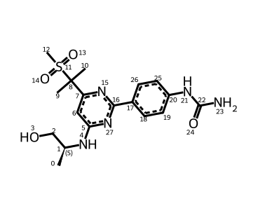 C[C@@H](CO)Nc1cc(C(C)(C)S(C)(=O)=O)nc(-c2ccc(NC(N)=O)cc2)n1